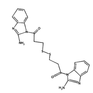 Nc1nc2ccccc2n1C(=O)CCSSCCC(=O)n1c(N)nc2ccccc21